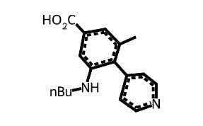 CCCCNc1cc(C(=O)O)cc(C)c1-c1ccncc1